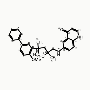 COc1ccc(-c2ccccc2)cc1C(C)(C)CC(O)(CNc1ccc2[nH]ccc(=O)c2c1)C(F)(F)F